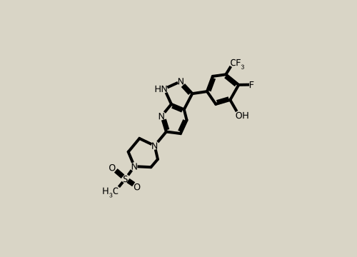 CS(=O)(=O)N1CCN(c2ccc3c(-c4cc(O)c(F)c(C(F)(F)F)c4)n[nH]c3n2)CC1